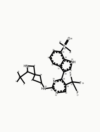 CC(C)(C)C1NCC12CC(Nc1ncc(C(F)(F)F)c(-c3c[nH]c4c(P(C)(C)=O)cccc34)n1)C2